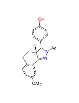 COc1ccc2c(c1)C1=NN(C(C)=O)[C@@H](c3ccc(O)cc3)[C@H]1CC2